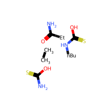 CC.CCC(N)=O.CCCCNC(O)=S.NC(O)=S